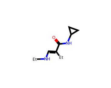 CCN/C=C(\CC)C(=O)NC1CC1